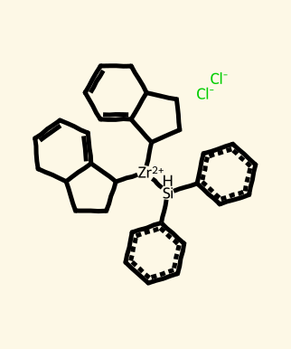 C1=CCC2CC[CH]([Zr+2]([CH]3CCC4CC=CC=C43)[SiH](c3ccccc3)c3ccccc3)C2=C1.[Cl-].[Cl-]